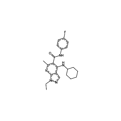 CCn1ncc2c(NC3CCCCC3)c(C(=O)Nc3ccc(F)cc3)c(C)nc21